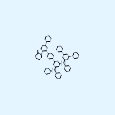 c1ccc(-c2cc(-c3ccccc3)cc(N(c3ccccc3)c3cc(-c4ccc(-c5cc(-c6ccccc6)cc6sc7ccccc7c56)cc4)cc(N(c4ccccc4)c4ccccc4)c3)c2)cc1